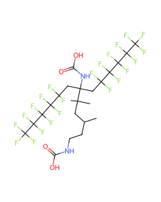 CC(CCNC(=O)O)CC(C)(C)C(CC(F)(F)C(F)(F)C(F)(F)C(F)(F)C(F)(F)F)(CC(F)(F)C(F)(F)C(F)(F)C(F)(F)C(F)(F)F)NC(=O)O